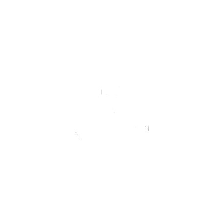 O=C(O)c1sc(Oc2ccc(Br)cc2)c2c1CCc1cnsc1-2